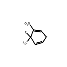 O=[N+]([O-])C1=C[CH]C=CC1(F)C(F)(F)F